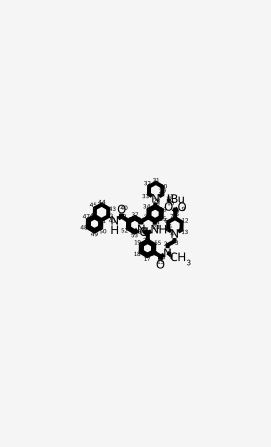 CN(CCN1CCC(C(=O)OC(C)(C)C)CC1)C(=O)c1cccc(C(=O)Nc2ccc(N3CCCCC3)cc2-c2cc(C(=O)N[C@H]3CCCc4ccccc43)ccn2)c1